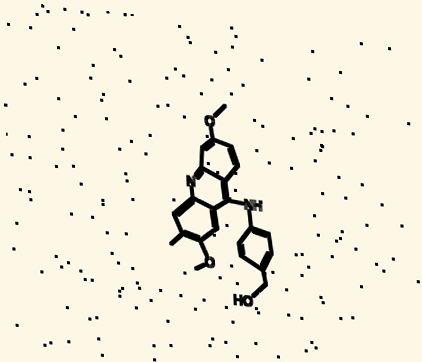 COc1ccc2c(Nc3ccc(CO)cc3)c3cc(OC)c(C)cc3nc2c1